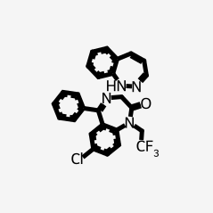 C1=Cc2ccccc2NN=C1.O=C1CN=C(c2ccccc2)c2cc(Cl)ccc2N1CC(F)(F)F